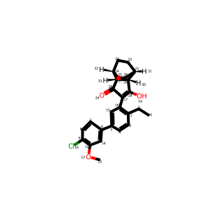 CCc1ccc(-c2ccc(Cl)c(OC)c2)cc1C1=C(O)[C@H]2[C@H]3CC[C@H](CC3)[C@H]2C1=O